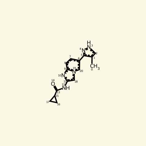 Cc1c[nH]nc1-c1ccc2nc(NC(=O)C3CC3)cn2c1